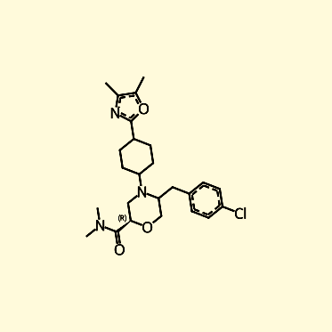 Cc1nc(C2CCC(N3C[C@H](C(=O)N(C)C)OCC3Cc3ccc(Cl)cc3)CC2)oc1C